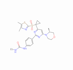 CCNC(=O)Nc1ccc(-c2nc(N3CCOC[C@@H]3C)cc(C3(S(=O)(=O)c4nc(C)c(C)s4)CC3)n2)cc1